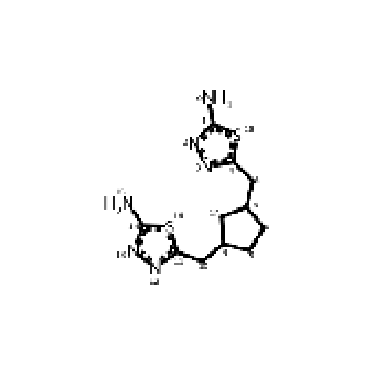 Nc1nnc(CC2CCC(Cc3nnc(N)s3)C2)s1